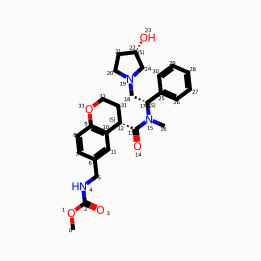 COC(=O)NCc1ccc2c(c1)[C@@H](C(=O)N(C)[C@H](CN1CC[C@H](O)C1)c1ccccc1)CCO2